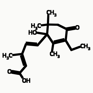 CCC1=C(C)C(O)(C=CC(C)=CC(=O)O)C(C)(C)CC1=O